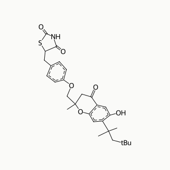 CC(C)(C)CC(C)(C)c1cc2c(cc1O)C(=O)CC(C)(COc1ccc(CC3SC(=O)NC3=O)cc1)O2